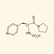 O=C(O)N[C@@H](Cc1ccncc1)C(=O)N1CCCC1